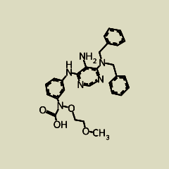 COCCON(C(=O)O)c1cccc(Nc2ncnc(N(Cc3ccccc3)Cc3ccccc3)c2N)c1